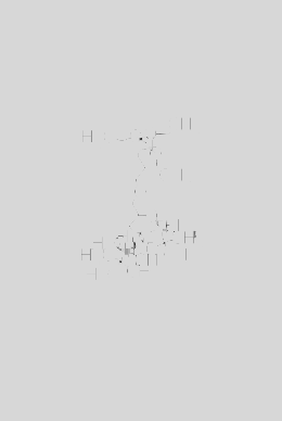 CCO[Si](CCCOCC(CO[Si](C)(C)C(C)(C)C)O[Si](C)(C)C(C)(C)C)(OCC)OCC